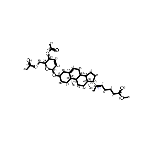 COC(=O)CCC/C=C(\C)[C@H]1CCC2C3CC=C4CC(OC5C=CC(OC(C)=O)C(COC(C)=O)O5)CC[C@]4(C)C3CC[C@@]21C